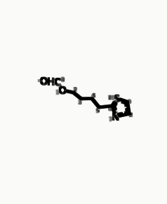 O=[C]OCCCCc1nccs1